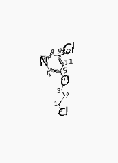 ClCCCOc1cncc(Cl)c1